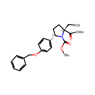 COC(=O)[C@@]1(CC#N)CC[C@@H](c2ccc(OCc3ccccc3)cc2)N1C(=O)OC(C)(C)C